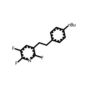 CCCCc1ccc(CCc2cc(F)c(F)nc2F)cc1